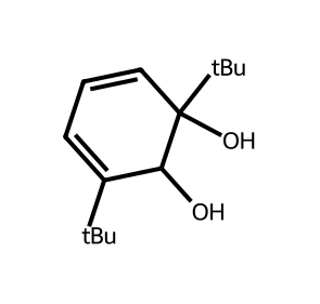 CC(C)(C)C1=CC=CC(O)(C(C)(C)C)C1O